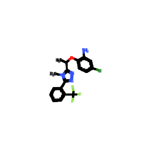 CC(Oc1ccc(Cl)cc1N)c1nnc(-c2ccccc2C(F)(F)F)n1C